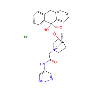 O=C(C[N+]12CCC(CC1)[C@@H](OC(=O)C1(O)c3ccccc3Cc3ccccc31)C2)Nc1cncnc1.[Br-]